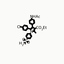 CCOC(=O)c1c(-c2ccc(NC(C)=O)cc2)c(-c2ccc(Cl)cc2)n(-c2ccc(S(N)(=O)=O)cc2)c1C